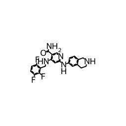 NC(=O)c1cnc(Nc2ccc3c(c2)CCNC3)cc1NCc1c(F)ccc(F)c1F